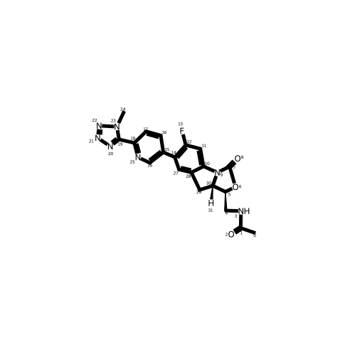 CC(=O)NC[C@@H]1OC(=O)N2c3cc(F)c(-c4ccc(-c5nnnn5C)nc4)cc3C[C@@H]12